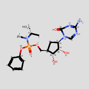 CC(C)N([C@@H](C)C(=O)O)P(=O)(OC[C@H]1C[C@@H](n2cnc(N)nc2=O)[C@H](O)[C@@H]1O)Oc1ccccc1